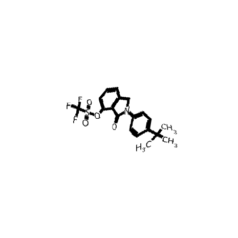 CC(C)(C)c1ccc(N2Cc3cccc(OS(=O)(=O)C(F)(F)F)c3C2=O)cc1